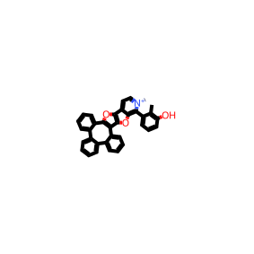 Cc1c(O)cccc1-c1c2oc3c4c(oc3c2cc[n+]1C)-c1ccccc1-c1ccccc1-c1ccccc1-4